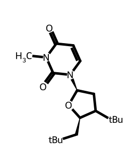 Cn1c(=O)ccn([C@H]2CC(C(C)(C)C)[C@@H](CC(C)(C)C)O2)c1=O